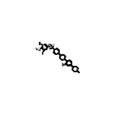 CC1CCC(c2ccc(C3CCC(C4CCC(C(F)(F)Oc5cc(F)c(C#N)c(F)c5)CC4)CC3)c(F)c2)CC1